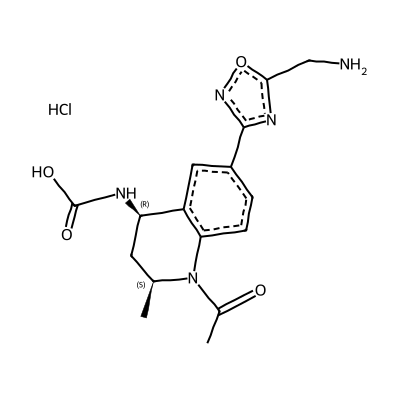 CC(=O)N1c2ccc(-c3noc(CN)n3)cc2[C@H](NC(=O)O)C[C@@H]1C.Cl